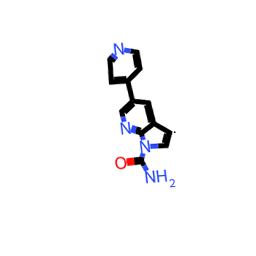 NC(=O)n1c[c]c2cc(-c3ccncc3)cnc21